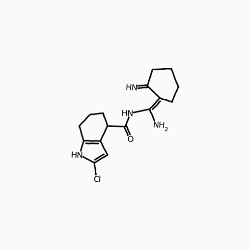 N=C1CCCC/C1=C(\N)NC(=O)C1CCCc2[nH]c(Cl)cc21